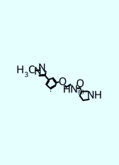 Cn1cc(-c2c[c]cc(OCCNC(=O)[C@@H]3CCCNC3)c2)cn1